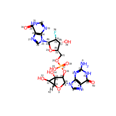 Nc1nc2c(ncn2[C@@H]2O[C@@H]3C(O)[C@]3(O)C2OP(=O)(O)OC[C@H]2O[C@@H](n3cnc4c(=O)[nH]cnc43)[C@@H](F)[C@@H]2O)c(=O)[nH]1